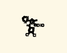 CC1=CC(c2ncccn2)N(C(C)c2ccc(Cl)c(Cl)c2)N1OC=O